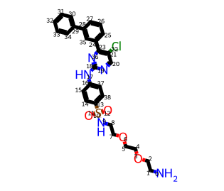 NCCOCCOCCNS(=O)(=O)c1ccc(Nc2ncc(Cl)c(-c3cccc(-c4ccccc4)c3)n2)cc1